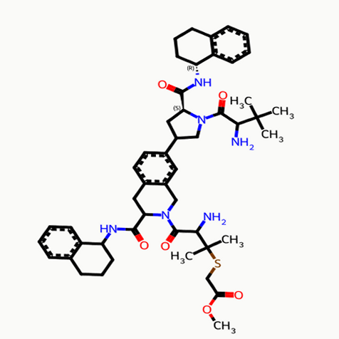 COC(=O)CSC(C)(C)C(N)C(=O)N1Cc2cc(C3C[C@@H](C(=O)N[C@@H]4CCCc5ccccc54)N(C(=O)C(N)C(C)(C)C)C3)ccc2CC1C(=O)NC1CCCc2ccccc21